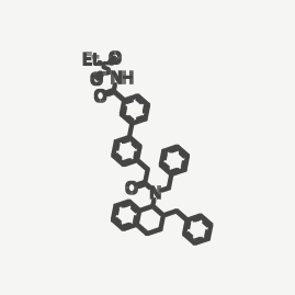 CCS(=O)(=O)NC(=O)c1cccc(-c2cccc(CC(=O)N(Cc3ccccc3)C3c4ccccc4CCC3Cc3ccccc3)c2)c1